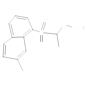 Cc1ccc2cccc(S(=O)(=O)C(C)OS(=O)(=O)O)c2c1